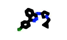 Clc1ccc(-c2nnc(NC3CCN(CC4CC4)C3)c3ccccc23)cc1